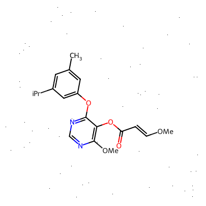 COC=CC(=O)Oc1c(OC)ncnc1Oc1cc(C)cc(C(C)C)c1